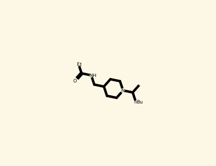 CCCCC(C)N1CCC(CNC(=O)CC)CC1